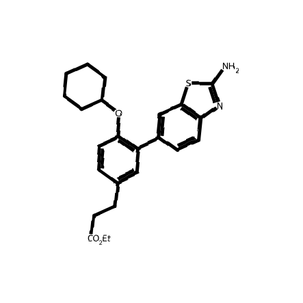 CCOC(=O)CCc1ccc(OC2CCCCC2)c(-c2ccc3nc(N)sc3c2)c1